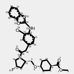 COC(=O)[C@H]1CC[C@H](OC[C@@H]2C[C@H](F)CN2C(=O)Cc2ccc(Nc3nc4ccccc4o3)c(Cl)c2)CC1